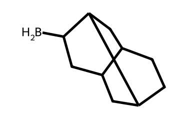 BC1CC2CC3CCC2CC13